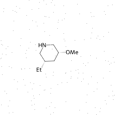 CC[C@@H]1CNC[C@H](OC)C1